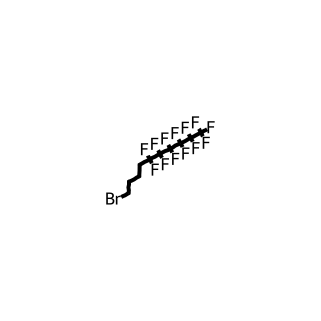 FC(F)(F)C(F)(F)C(F)(F)C(F)(F)C(F)(F)C(F)(F)CCCCBr